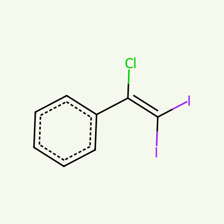 ClC(=C(I)I)c1ccccc1